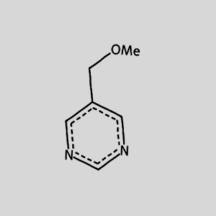 [CH2]OCc1cncnc1